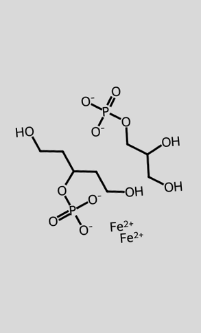 O=P([O-])([O-])OC(CCO)CCO.O=P([O-])([O-])OCC(O)CO.[Fe+2].[Fe+2]